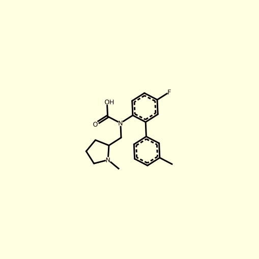 Cc1cccc(-c2cc(F)ccc2N(CC2CCCN2C)C(=O)O)c1